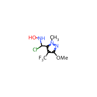 COc1nn(C)c(C(Cl)NO)c1C(F)(F)F